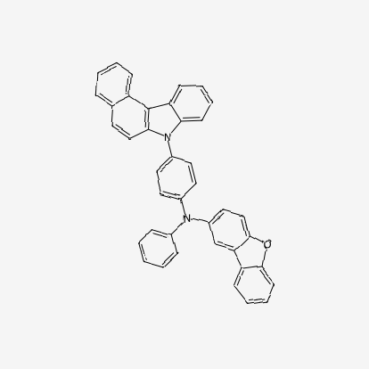 c1ccc(N(c2ccc(-n3c4ccccc4c4c5ccccc5ccc43)cc2)c2ccc3oc4ccccc4c3c2)cc1